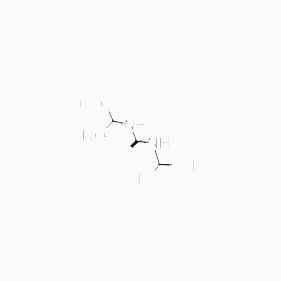 OC(NC(=S)NC(O)C(Cl)(Cl)Cl)C(Cl)(Cl)Cl